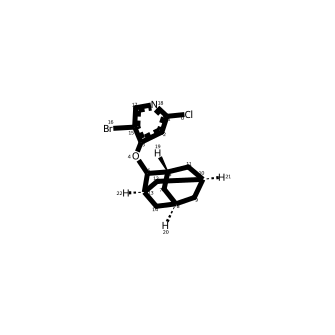 Clc1cc(OC2[C@H]3C[C@H]4C[C@H](C3)C[C@H]2C4)c(Br)cn1